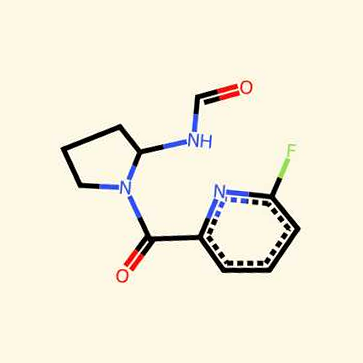 O=CNC1CCCN1C(=O)c1cccc(F)n1